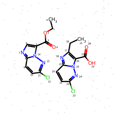 CCOC(=O)c1cnc2ccc(Cl)nn12.CCc1nc2ccc(Cl)nn2c1C(=O)O